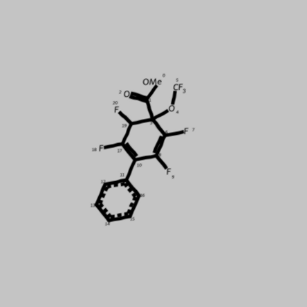 COC(=O)C1(OC(F)(F)F)C(F)=C(F)C(c2ccccc2)=C(F)C1F